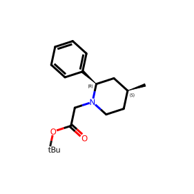 C[C@H]1CCN(CC(=O)OC(C)(C)C)[C@@H](c2ccccc2)C1